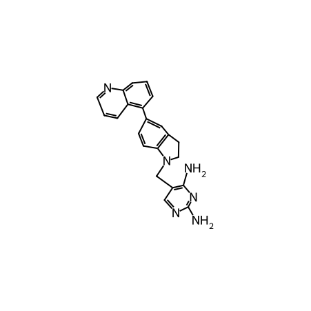 Nc1ncc(CN2CCc3cc(-c4cccc5ncccc45)ccc32)c(N)n1